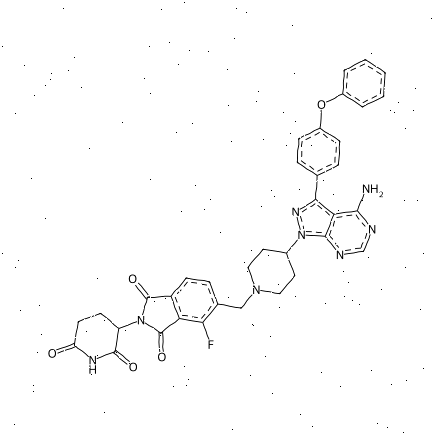 Nc1ncnc2c1c(-c1ccc(Oc3ccccc3)cc1)nn2C1CCN(Cc2ccc3c(c2F)C(=O)N(C2CCC(=O)NC2=O)C3=O)CC1